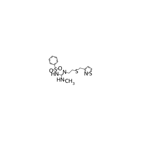 CNC(=NCCSCc1ccsn1)NS(=O)(=O)c1ccccc1